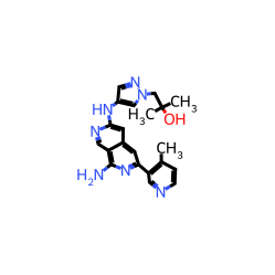 Cc1ccncc1-c1cc2cc(Nc3cnn(CC(C)(C)O)c3)ncc2c(N)n1